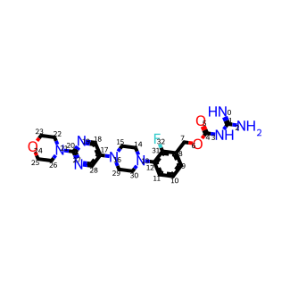 N=C(N)NC(=O)OCc1cccc(N2CCN(c3cnc(N4CCOCC4)nc3)CC2)c1F